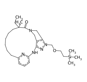 CCC1(C)CCCCCCc2cccc(n2)Nc2nn(COCC[Si](C)(C)C)c3c2CN(C3)C1=O